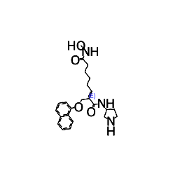 O=C(CCCC/C=C(\COc1cccc2ccccc12)C(=O)NC1CCNC1)NO